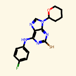 Fc1ccc(Nc2nc(S)nc3c2ncn3C2CCCCO2)cc1